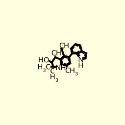 C#Cc1c(-c2cccc3cc[nH]c23)cc(C)c2c1[C@H](C)C(O)C(C)(C)N2